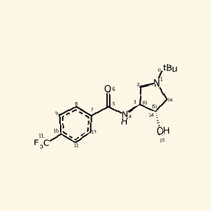 CC(C)(C)N1C[C@H](NC(=O)c2ccc(C(F)(F)F)cc2)[C@@H](O)C1